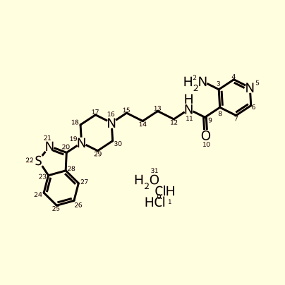 Cl.Cl.Nc1cnccc1C(=O)NCCCCN1CCN(c2nsc3ccccc23)CC1.O